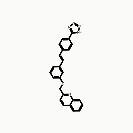 C(=C\c1cccc(OCc2ccc3ccccc3n2)c1)/c1ccc(-c2nnn[nH]2)cc1